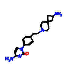 Nc1ccn(-c2ccc(CCN3CCC4(CC3)CC(N)C4)cc2)c(=O)n1